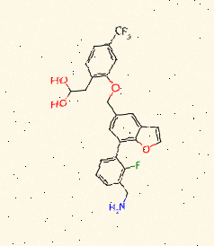 NCc1cccc(-c2cc(COc3cc(C(F)(F)F)ccc3CC(O)O)cc3ccoc23)c1F